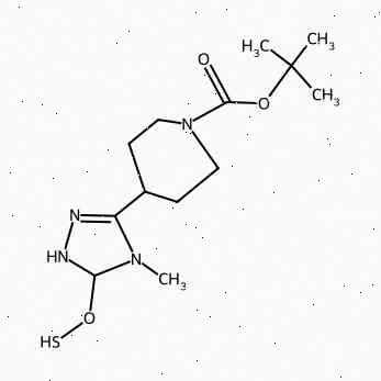 CN1C(C2CCN(C(=O)OC(C)(C)C)CC2)=NNC1OS